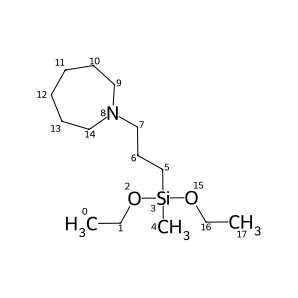 CCO[Si](C)(CCCN1CCCCCC1)OCC